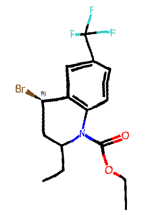 CCOC(=O)N1c2ccc(C(F)(F)F)cc2[C@H](Br)CC1CC